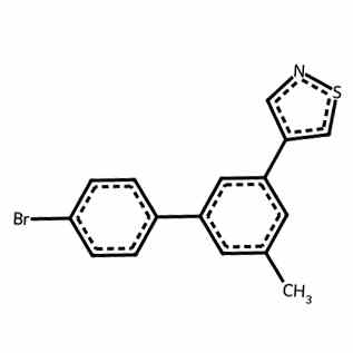 Cc1cc(-c2ccc(Br)cc2)cc(-c2cnsc2)c1